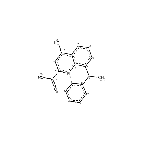 CC(c1ccccc1)c1cccc2c(O)cc(C(=O)O)nc12